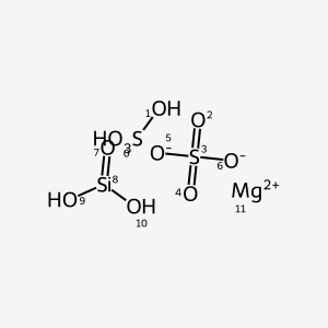 O=S(=O)(O)O.O=S(=O)([O-])[O-].O=[Si](O)O.[Mg+2]